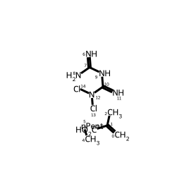 C=C(C)C(=O)O.CCCCCC.N=C(N)NC(=N)N(Cl)Cl